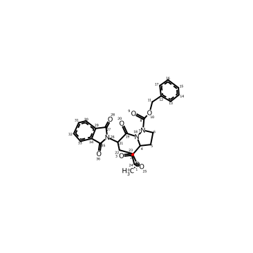 COC(=O)C1CCN(C(=O)OCc2ccccc2)N1C(=O)C(CCC=O)N1C(=O)c2ccccc2C1=O